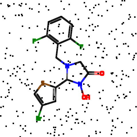 O=C1CN(Cc2c(F)cccc2F)C(c2cc(Br)cs2)N1O